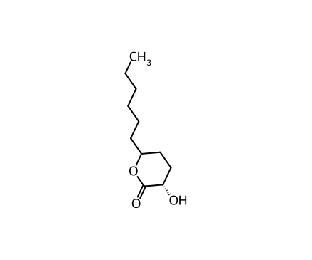 CCCCCCC1CC[C@H](O)C(=O)O1